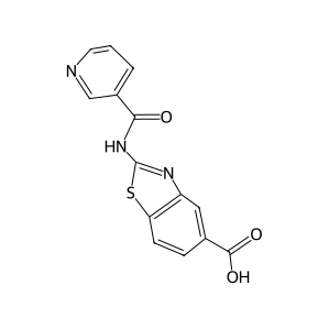 O=C(O)c1ccc2sc(NC(=O)c3cccnc3)nc2c1